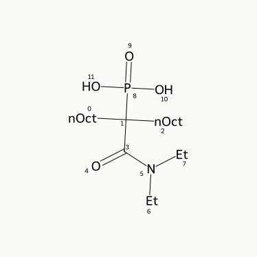 CCCCCCCCC(CCCCCCCC)(C(=O)N(CC)CC)P(=O)(O)O